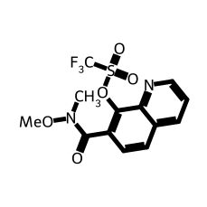 CON(C)C(=O)c1ccc2cccnc2c1OS(=O)(=O)C(F)(F)F